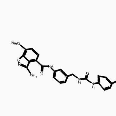 COc1ccc(C(=O)Nc2cccc(CNC(=O)Nc3ccc(Cl)cc3)c2)c2c(N)noc12